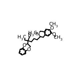 CCC(C#N)(CCCC1Cc2cc(OC)c(OC)cc2CN1C)C1COc2ccccc2O1